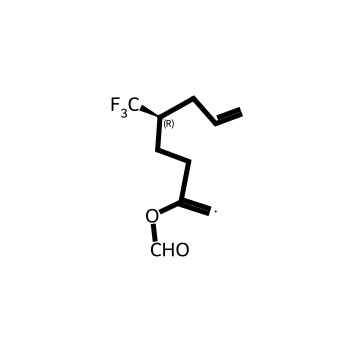 [CH]=C(CC[C@H](CC=C)C(F)(F)F)OC=O